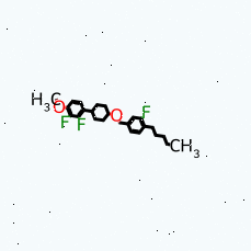 CCCCCc1ccc(COC2CCC(c3ccc(OC)c(F)c3F)CC2)cc1F